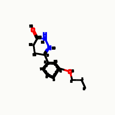 CCCOc1cccc(C2=NNC(=O)CC2)c1